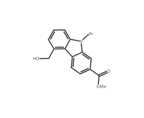 COC(=O)c1ccc2c3c(CO)cccc3n(C(C)C)c2c1